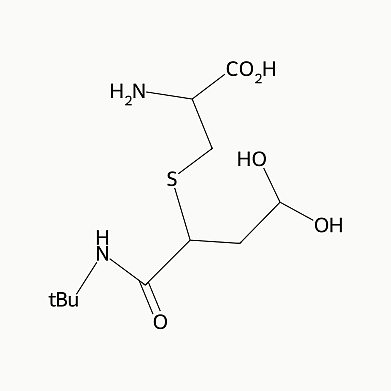 CC(C)(C)NC(=O)C(CC(O)O)SCC(N)C(=O)O